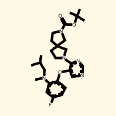 CC(C)CN(C)c1cc(F)ccc1Oc1cncnc1N1CCC2(CCN(C(=O)OC(C)(C)C)C2)C1